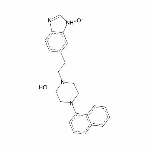 Cl.[O-][NH+]1C=Nc2ccc(CCN3CCN(c4cccc5ccccc45)CC3)cc21